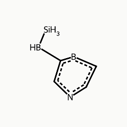 [SiH3]Bc1bccnc1